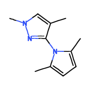 Cc1cn(C)nc1-n1c(C)ccc1C